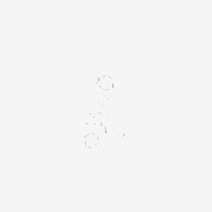 COC(=O)c1ccccc1S(=O)(=O)NC(=O)N=Nc1cc(C)c(I)c(C)n1